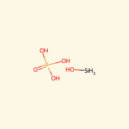 O=P(O)(O)O.O[SiH3]